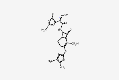 Cc1nc(SC2=C(C(=O)O)N3C(=O)C(NC(=O)/C(=N\O)c4nc(N)sc4Cl)C3CC2)sc1C